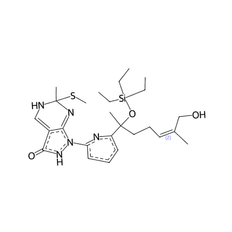 CC[Si](CC)(CC)OC(C)(CC/C=C(/C)CO)c1cccc(-n2[nH]c(=O)c3c2=NC(C)(SC)NC=3)n1